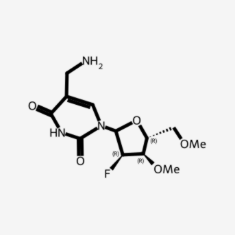 COC[C@H]1OC(n2cc(CN)c(=O)[nH]c2=O)[C@H](F)[C@@H]1OC